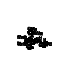 COc1ccc(CN(Cc2ccc(OC)cc2OC)c2nc(-c3cnccc3C)cc3cc(NC(=O)C4[C@H]5CC(=O)C[C@@H]45)ncc23)c(OC)c1